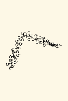 O=P([O-])([O-])[O-].O=P([O-])([O-])[O-].O=P([O-])([O-])[O-].O=P([O-])([O-])[O-].O=P([O-])([O-])[O-].O=P([O-])([O-])[O-].O=P([O-])([O-])[O-].[Li+].[Li+].[Li+].[Na+].[Na+].[Na+].[V+5].[V+5].[V+5]